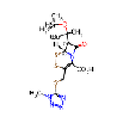 Cn1nnnc1SCC1=C(C(=O)O)N2C(=O)[C@H](C(C)(O[SiH](C)C)C(C)(C)C)[C@H]2SS1